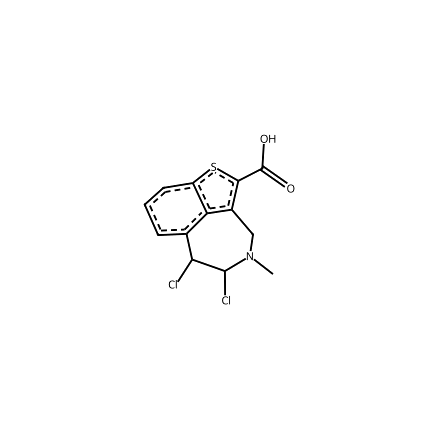 CN1Cc2c(C(=O)O)sc3cccc(c23)C(Cl)C1Cl